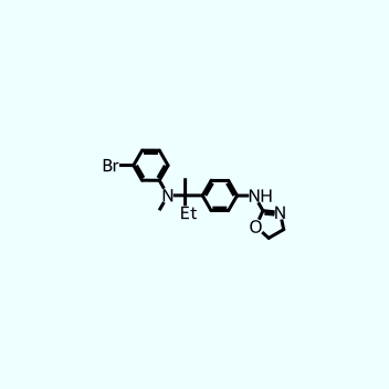 CCC(C)(c1ccc(NC2=NCCO2)cc1)N(C)c1cccc(Br)c1